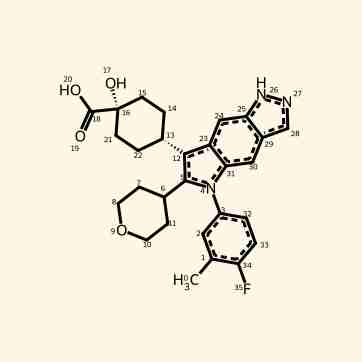 Cc1cc(-n2c(C3CCOCC3)c([C@H]3CC[C@](O)(C(=O)O)CC3)c3cc4[nH]ncc4cc32)ccc1F